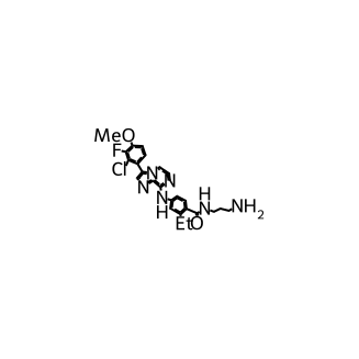 CCc1cc(Nc2nccn3c(-c4ccc(OC)c(F)c4Cl)cnc23)ccc1C(=O)NCCCN